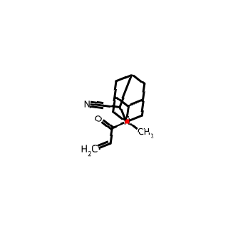 C=CC(=O)N(C)C1C2CC3CC1CC(C2)C3C#N